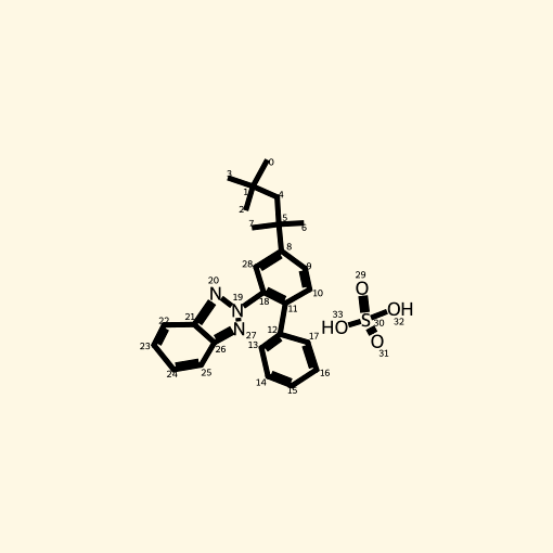 CC(C)(C)CC(C)(C)c1ccc(-c2ccccc2)c(-n2nc3ccccc3n2)c1.O=S(=O)(O)O